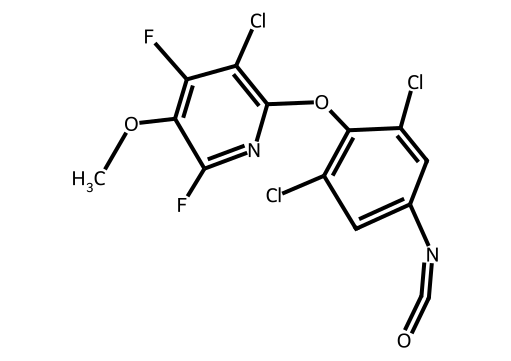 COc1c(F)nc(Oc2c(Cl)cc(N=C=O)cc2Cl)c(Cl)c1F